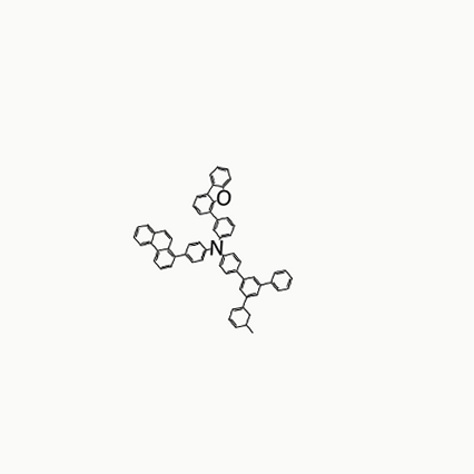 CC1C=CC=C(c2cc(-c3ccccc3)cc(-c3ccc(N(c4ccc(-c5cccc6c5ccc5ccccc56)cc4)c4cccc(-c5cccc6c5oc5ccccc56)c4)cc3)c2)C1